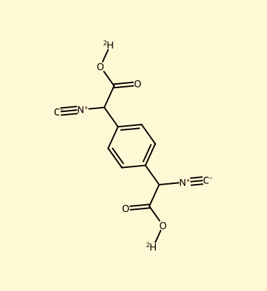 [2H]OC(=O)C([N+]#[C-])c1ccc(C([N+]#[C-])C(=O)O[2H])cc1